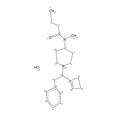 CCCC(=O)N(C)C1CCN(C(Cc2ccccc2)C2=CCC2)CC1.Cl